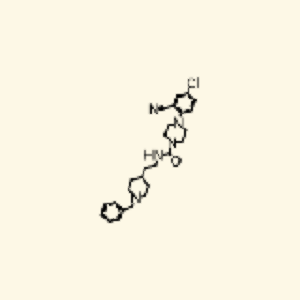 N#Cc1cc(Cl)ccc1N1CCN(C(=O)NCCC2CCN(Cc3ccccc3)CC2)CC1